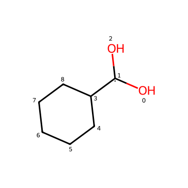 O[C](O)C1CCCCC1